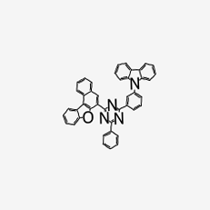 c1ccc(-c2nc(-c3cccc(-n4c5ccccc5c5ccccc54)c3)nc(-c3cc4ccccc4c4c3oc3ccccc34)n2)cc1